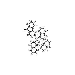 c1ccc2c(C3=C4C(=C(c5ccc6[nH]c7ccccc7c6c5)c5c4ccc4ccccc54)c4ccc5ccccc5c43)cccc2c1